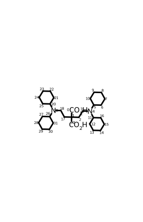 O=C(O)C(CCN(C1CCCCC1)C1CCCCC1)(CCN(C1CCCCC1)C1CCCCC1)C(=O)O